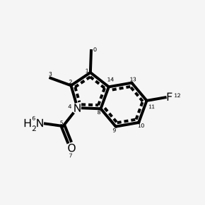 Cc1c(C)n(C(N)=O)c2ccc(F)cc12